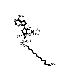 CCCCCCCCCCCCCCCCCCCCOP(=O)(O)OC[C@@]1(C#N)C[C@@H](c2ccc3c(N)ncnn23)[C@@H]2OC(C)(C)O[C@@H]21